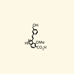 COc1c(C(=O)O)ccc2[nH]nc(C=Cc3cccc(CO)c3)c12